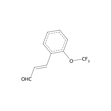 O=CC=Cc1ccccc1OC(F)(F)F